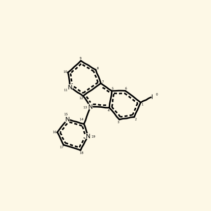 Ic1ccc2c(c1)c1cccnc1n2-c1ncccn1